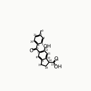 Cc1ccc(C(=O)c2cc3c(cc2O)C(C(=O)O)CC3)cc1